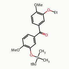 CCOc1cc(C(=O)c2ccc(OC)c(O[Si](C)(C)C(C)(C)C)c2)ccc1OC